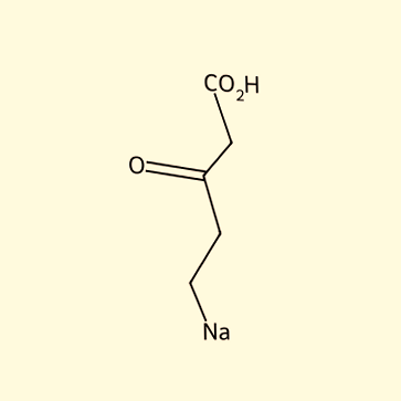 O=C(O)CC(=O)C[CH2][Na]